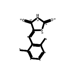 Cc1cccc(C)c1C=C1SC(=O)NC1=O